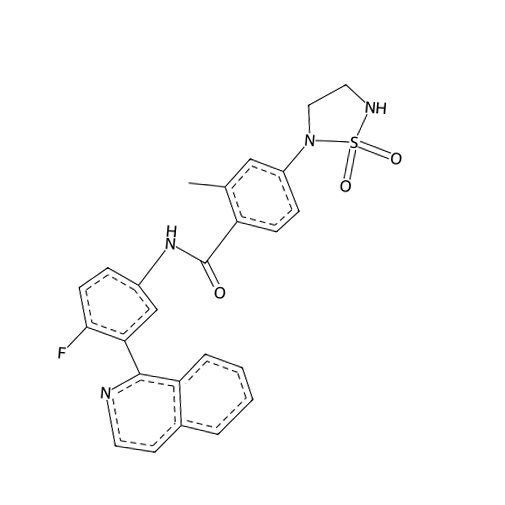 Cc1cc(N2CCNS2(=O)=O)ccc1C(=O)Nc1ccc(F)c(-c2nccc3ccccc23)c1